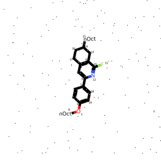 CCCCCCCCOc1ccc(-c2cc3c(c(F)n2)CC(CCCCCCCC)CC3)cc1